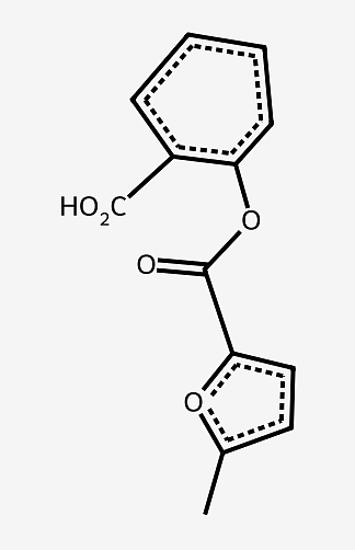 Cc1ccc(C(=O)Oc2ccccc2C(=O)O)o1